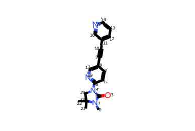 CN1C(=O)N(c2ccc(C#Cc3cccnc3)cn2)CC1(C)C